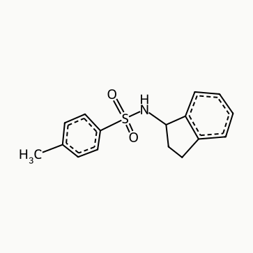 Cc1ccc(S(=O)(=O)NC2CCc3ccccc32)cc1